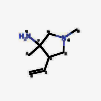 C=CC1CN(C)CC1(C)N